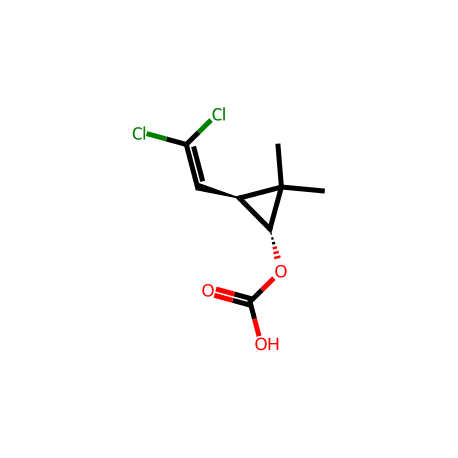 CC1(C)[C@H](C=C(Cl)Cl)[C@H]1OC(=O)O